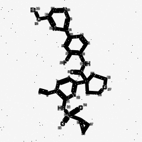 C=Cc1ccc(C2(C(=O)Nc3ccc(-c4cncc(OCC)n4)cc3F)CCOCC2)nc1NS(=O)(=O)C1CC1